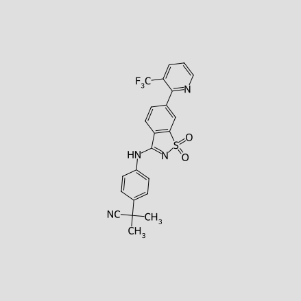 CC(C)(C#N)c1ccc(NC2=NS(=O)(=O)c3cc(-c4ncccc4C(F)(F)F)ccc32)cc1